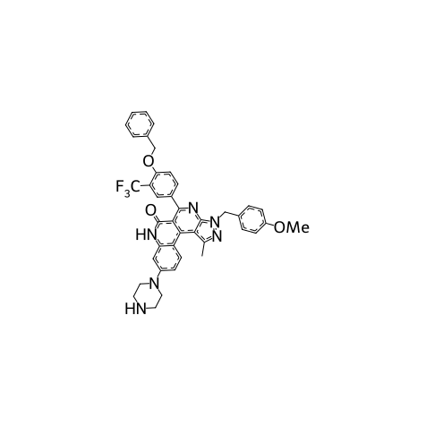 COc1ccc(Cn2nc(C)c3c4c(c(-c5ccc(OCc6ccccc6)c(C(F)(F)F)c5)nc32)c(=O)[nH]c2cc(N3CCNCC3)ccc24)cc1